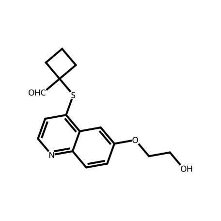 O=CC1(Sc2ccnc3ccc(OCCO)cc23)CCC1